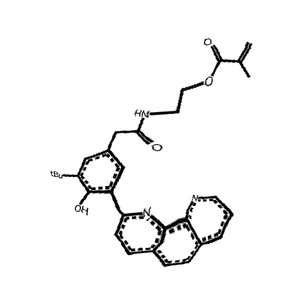 C=C(C)C(=O)OCCNC(=O)Cc1cc(-c2ccc3ccc4cccnc4c3n2)c(O)c(C(C)(C)C)c1